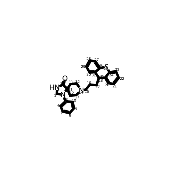 O=C1NCN(c2ccccc2)C12CCN(CCCC1c3ccccc3Sc3ccccc31)CC2